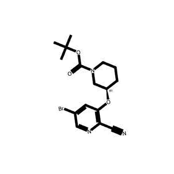 CC(C)(C)OC(=O)N1CCC[C@@H](Oc2cc(Br)cnc2C#N)C1